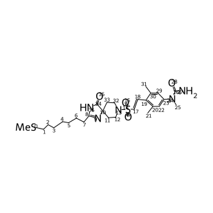 CSCCCCCCCC1=NC2(CCN(S(=O)(=O)C=Cc3c(C)cc(N(C)C(N)=O)cc3C)CC2)C(=O)N1